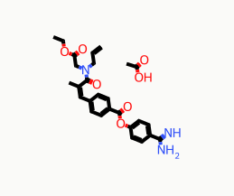 C=CCN(CC(=O)OCC)C(=O)C(C)=Cc1ccc(C(=O)Oc2ccc(C(=N)N)cc2)cc1.CC(=O)O